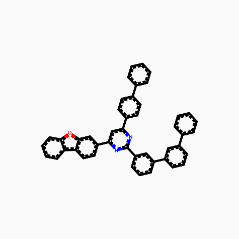 c1ccc(-c2ccc(-c3cc(-c4ccc5c(c4)oc4ccccc45)nc(-c4cccc(-c5cccc(-c6ccccc6)c5)c4)n3)cc2)cc1